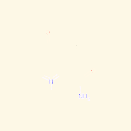 Cc1c(C(N)=O)n(F)ccc1=O